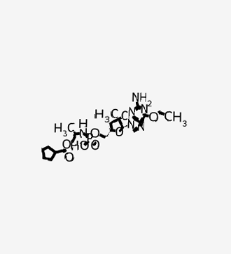 CCOc1nc(N)nc2c1ncn2[C@@H]1O[C@H](COP(=O)(O)N[C@H](C)COC(=O)C2CCCC2)C[C@@]1(C)Cl